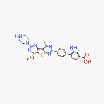 CCOc1nc(N2CCNCC2)nc2c1sc1nc(-c3ccc(-c4ccc(C(=O)O)cc4N)cc3)nc(C)c12